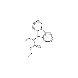 CCOC(=O)C(CC)C1c2ccccc2-c2ccccc21